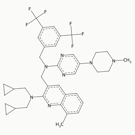 Cc1cccc2cc(CN(Cc3cc(C(F)(F)F)cc(C(F)(F)F)c3)c3ncc(N4CCN(C)CC4)cn3)c(N(CC3CC3)CC3CC3)nc12